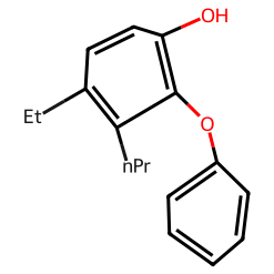 CCCc1c(CC)ccc(O)c1Oc1ccccc1